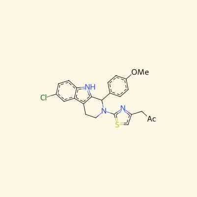 COc1ccc(C2c3[nH]c4ccc(Cl)cc4c3CCN2c2nc(CC(C)=O)cs2)cc1